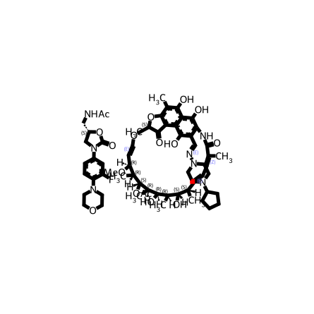 CC(=O)NC[C@H]1CN(c2ccc(N3CCOCC3)c(F)c2)C(=O)O1.CO[C@H]1/C=C/O[C@@]2(C)Oc3c(C)c(O)c4c(O)c(c(/C=N/N5CCN(C6CCCC6)CC5)c(O)c4c3C2=O)NC(=O)/C(C)=C\C=C\[C@H](C)[C@H](O)[C@@H](C)[C@@H](O)[C@@H](C)[C@H](OC(C)=O)[C@@H]1C